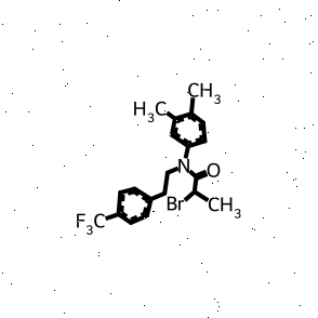 Cc1ccc(N(CCc2ccc(C(F)(F)F)cc2)C(=O)C(C)Br)cc1C